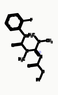 CC(C)OC(=O)/N=C(/N(C)C)N(C)C(=O)Nc1ccccc1F